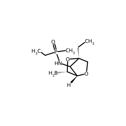 B[C@@H]1O[C@@]2(CC)CO[C@H]1C2NP(C)(=O)CC